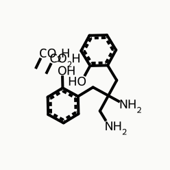 CC(=O)O.CC(=O)O.NCC(N)(Cc1ccccc1O)Cc1ccccc1O